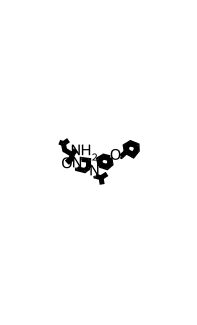 CC(C)CC(N)C(=O)N1CCC(N(CC(C)C)c2ccc(OCc3ccccc3)cc2)CC1